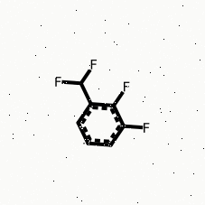 Fc1c[c]cc(C(F)F)c1F